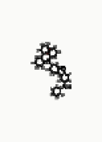 c1ccc(Nc2ccc3oc4cc(N(c5ccccc5)c5ccccc5-c5ccccc5)ccc4c3c2)cc1